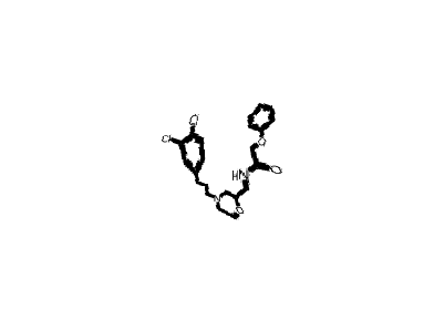 O=C(COc1ccccc1)NCC1CN(CCCc2ccc(Cl)c(Cl)c2)CCO1